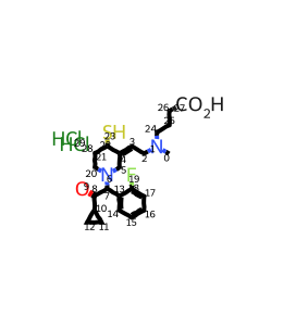 CN(CC=C1CN(C(C(=O)C2CC2)c2ccccc2F)CCC1S)CCCC(=O)O.Cl.Cl